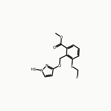 COC(=O)c1cccc(SCF)c1COc1ccn(S)n1